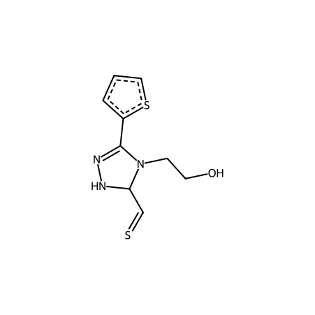 OCCN1C(c2cccs2)=NNC1C=S